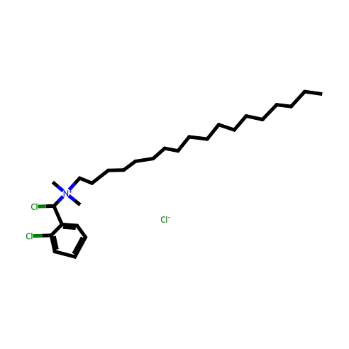 CCCCCCCCCCCCCCCCCC[N+](C)(C)C(Cl)c1ccccc1Cl.[Cl-]